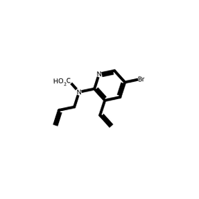 C=CCN(C(=O)O)c1ncc(Br)cc1C=C